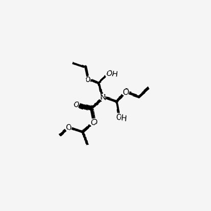 CCOC(O)N(C(=O)OC(C)OC)C(O)OCC